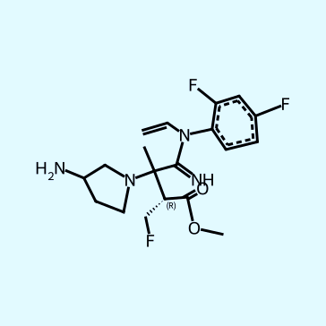 C=CN(C(=N)C(C)([C@@H](CF)C(=O)OC)N1CCC(N)C1)c1ccc(F)cc1F